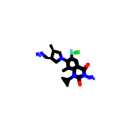 Cc1c(N2C[C@H](CN)[C@@H](C)C2)c(F)cc2c(=O)n(N)c(=O)n(C3CC3)c12.Cl